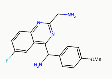 COc1ccc(C(N)c2nc(CN)nc3ccc(F)cc23)cc1